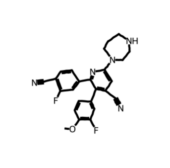 COc1ccc(-c2c(C#N)cc(N3CCCNCC3)nc2-c2ccc(C#N)c(F)c2)cc1F